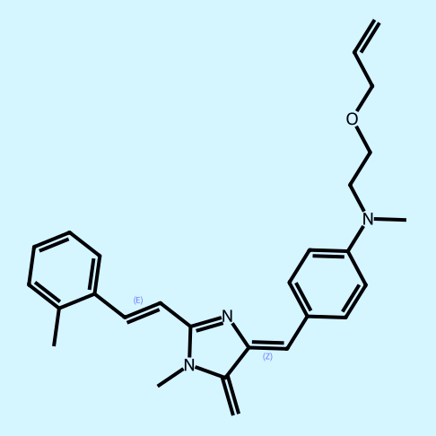 C=CCOCCN(C)c1ccc(/C=c2\nc(/C=C/c3ccccc3C)n(C)c2=C)cc1